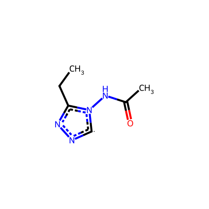 CCc1nn[c]n1NC(C)=O